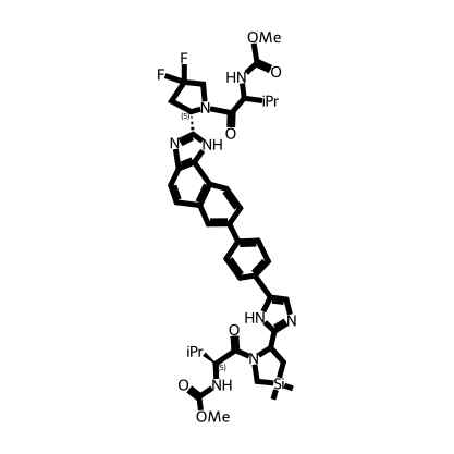 COC(=O)NC(C(=O)N1CC(F)(F)C[C@H]1c1nc2ccc3cc(-c4ccc(-c5cnc(C6C[Si](C)(C)CN6C(=O)[C@@H](NC(=O)OC)C(C)C)[nH]5)cc4)ccc3c2[nH]1)C(C)C